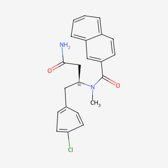 CN(C(=O)c1ccc2ccccc2c1)[C@H](CC(N)=O)Cc1ccc(Cl)cc1